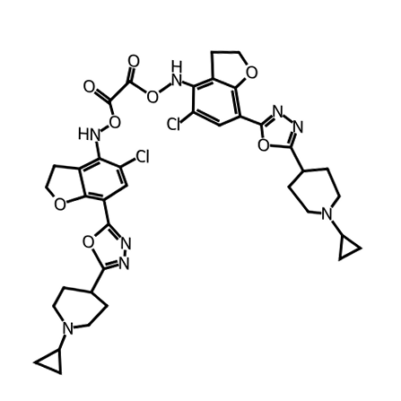 O=C(ONc1c(Cl)cc(-c2nnc(C3CCN(C4CC4)CC3)o2)c2c1CCO2)C(=O)ONc1c(Cl)cc(-c2nnc(C3CCN(C4CC4)CC3)o2)c2c1CCO2